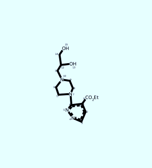 CCOC(=O)c1ccnnc1N1CCN(CC(O)CO)CC1